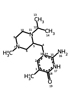 Cc1c[n+](CC2CN(C)CCN2C(C)C)c(N)[nH]c1=O